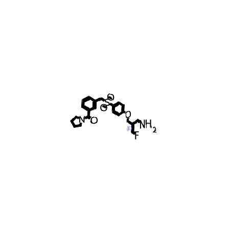 NC/C(=C\F)COc1ccc(S(=O)(=O)Cc2cccc(C(=O)N3CCCC3)c2)cc1